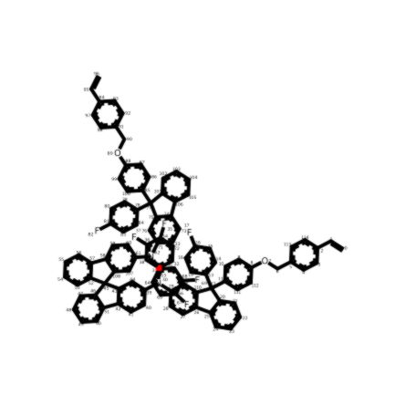 C=Cc1ccc(COc2ccc(C3(c4ccc(F)cc4)c4ccccc4-c4ccc(N(c5ccc(F)c(F)c5)c5ccc6c(c5)C5(c7ccccc7-6)c6ccccc6-c6ccc(N(c7ccc(F)c(F)c7)c7ccc8c(c7)C(c7ccc(F)cc7)(c7ccc(OCc9ccc(C=C)cc9)cc7)c7ccccc7-8)cc65)cc43)cc2)cc1